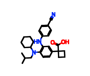 CC(C)CN(c1ccc(C2(C(=O)O)CCC2)cc1Nc1ccc(C#N)cc1)C1CCCCC1